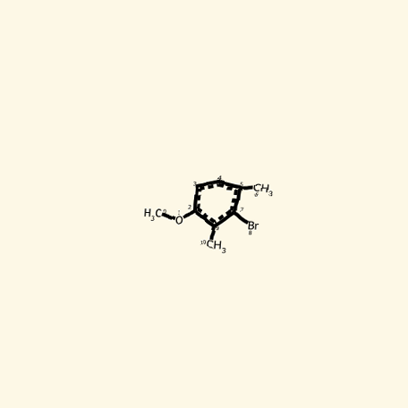 COc1ccc(C)c(Br)c1C